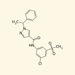 CC(c1ccccc1)n1cc(C(=O)Nc2cc(Cl)cc(S(C)(=O)=O)c2)cn1